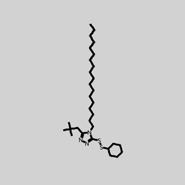 CCCCCCCCCCCCCCCCCCn1c(CC(C)(C)C)nnc1SSC1CCCCC1